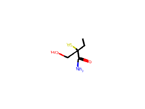 CCC(S)(CO)C(N)=O